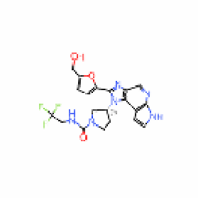 O=C(NCC(F)(F)F)N1CC[C@@H](n2c(-c3ccc(CO)o3)nc3cnc4[nH]ccc4c32)C1